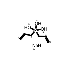 C=CCP(O)(O)(O)CC=C.[NaH]